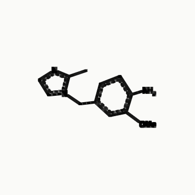 COc1cc(Cn2ccnc2C)ccc1N